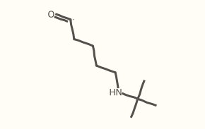 CC(C)(C)NCCCC[C]=O